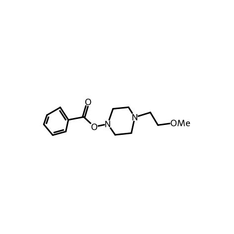 COCCN1CCN(OC(=O)c2ccccc2)CC1